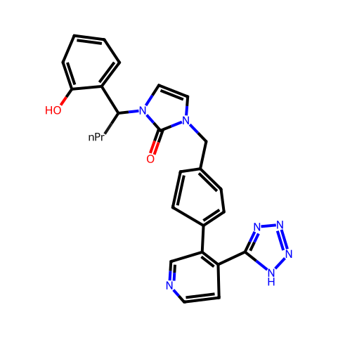 CCCC(c1ccccc1O)n1ccn(Cc2ccc(-c3cnccc3-c3nnn[nH]3)cc2)c1=O